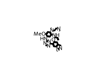 C=CC(=O)Nc1cc(Nc2ncnc(-c3ccc4cnn(C)c4c3)n2)c(OC)cc1N(C)CCN(C)C